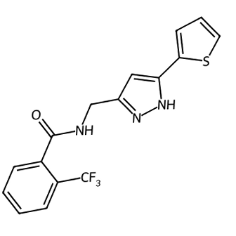 O=C(NCc1cc(-c2cccs2)[nH]n1)c1ccccc1C(F)(F)F